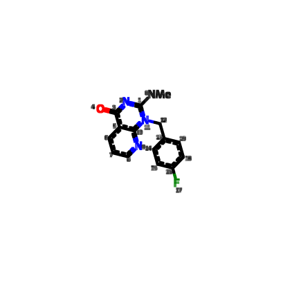 CNc1nc(=O)c2cccnc2n1Cc1ccc(F)cc1